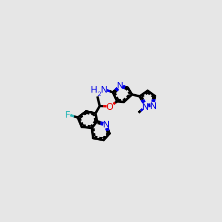 CC(Oc1cc(-c2ccnn2C)cnc1N)c1cc(F)cc2cccnc12